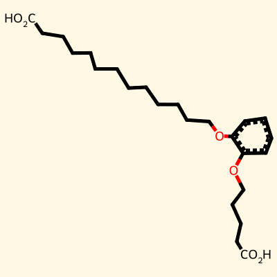 O=C(O)CCCCCCCCCCCCOc1ccccc1OCCCCC(=O)O